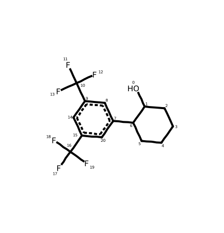 OC1CCCCC1c1cc(C(F)(F)F)cc(C(F)(F)F)c1